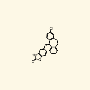 O=c1[nH]c2cc(/C=C3\c4ccccc4CCc4cc(Cl)ccc43)ccc2o1